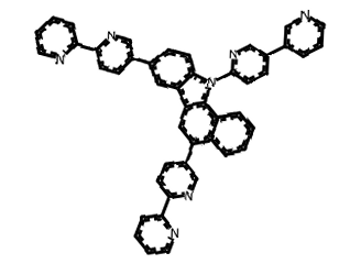 c1ccc(-c2ccc(-c3ccc4c(c3)c3cc(-c5ccc(-c6ccccn6)nc5)c5ccccc5c3n4-c3ccc(-c4cccnc4)cn3)cn2)nc1